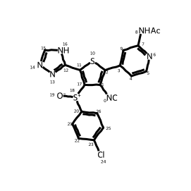 [C-]#[N+]c1c(-c2ccnc(NC(C)=O)c2)sc(-c2nnc[nH]2)c1[S+]([O-])c1ccc(Cl)cc1